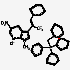 Cn1cc(C(=Cc2ccccc2)C(F)(F)F)c2cc([N+](=O)[O-])cnc21.[Cl-].c1ccc(C[P+](c2ccccc2)(c2ccccc2)c2ccccc2)cc1